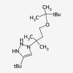 CC(C)(C)C1=CN(C(C)(C)CCOC(C)(C)C(C)(C)C)NN1